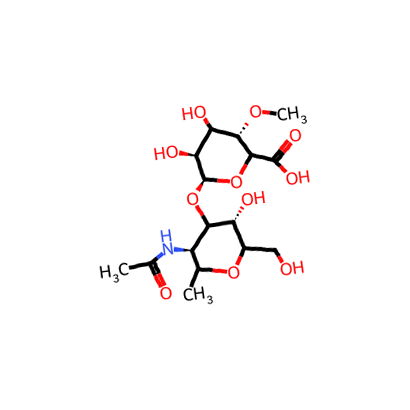 CO[C@@H]1C(C(=O)O)O[C@@H](OC2[C@H](O)C(CO)OC(C)[C@H]2NC(C)=O)[C@@H](O)C1O